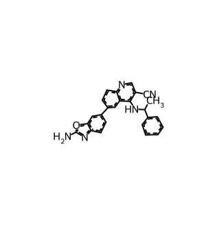 CC(Nc1c(C#N)cnc2ccc(-c3ccc4nc(N)oc4c3)cc12)c1ccccc1